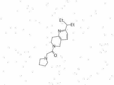 CCC(CC)c1ccc2c(n1)CCN(C(=O)CN1CCCC1)C2